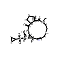 CN1CCCC/C=C\[C@@H]2C[C@@]2(C(=O)NS(=O)(=O)C2CC2)NC(=O)C2CCC[C@H]2C1=O